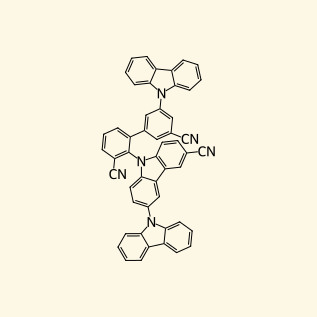 N#Cc1cc(-c2cccc(C#N)c2-n2c3ccc(C#N)cc3c3cc(-n4c5ccccc5c5ccccc54)ccc32)cc(-n2c3ccccc3c3ccccc32)c1